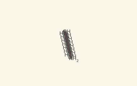 NCC(=O)NCC(=O)NCC(=O)NCC(=O)NCC(=O)NCC(=O)NCC(=O)NCC(=O)NCC(=O)NCC(=O)NCC(=O)NCC(=O)NCC(=O)NCC(=O)NCC(=O)O